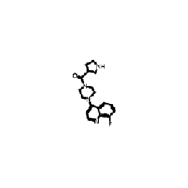 O=C(C1CCNC1)N1CCN(c2ccnc3c(F)cccc23)CC1